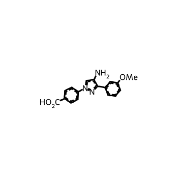 COc1cccc(-c2nn(-c3ccc(C(=O)O)cc3)cc2N)c1